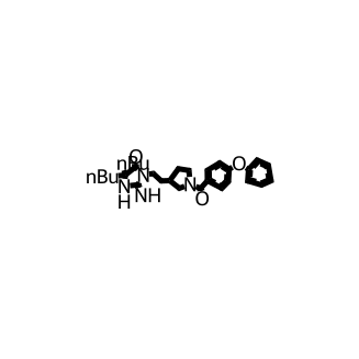 CCCCC1(CCCC)NC(=N)N(CCC2CCN(C(=O)c3ccc(Oc4ccccc4)cc3)C2)C1=O